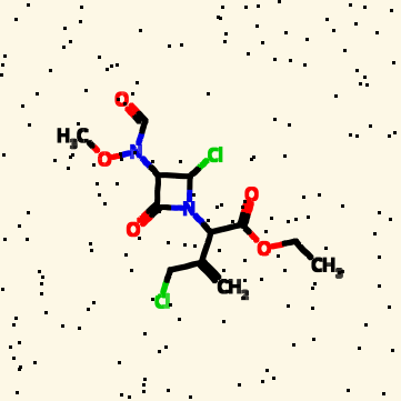 C=C(CCl)C(C(=O)OCC)N1C(=O)C(N(C=O)OC)C1Cl